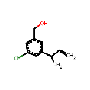 [CH2]C(C=C)c1cc(Cl)cc(CO)c1